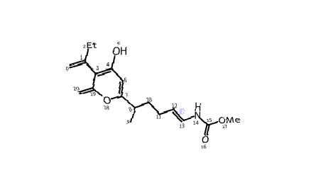 C=C(CC)C1=C(O)C=C(C(C)CC/C=C/NC(=O)OC)OC1=C